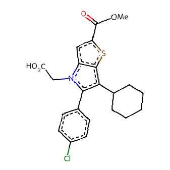 COC(=O)c1cc2c(s1)c(C1CCCCC1)c(-c1ccc(Cl)cc1)n2CC(=O)O